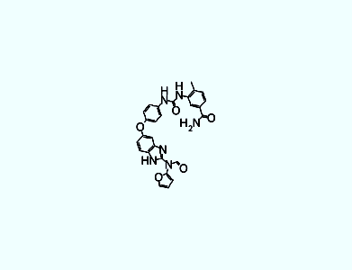 Cc1ccc(C(N)=O)cc1NC(=O)Nc1ccc(Oc2ccc3[nH]c(N(C=O)c4ccco4)nc3c2)cc1